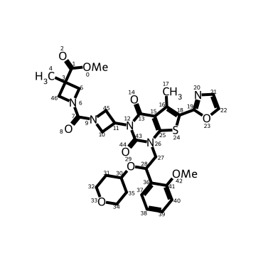 COC(=O)C1(C)CN(C(=O)N2CC(n3c(=O)c4c(C)c(-c5ncco5)sc4n(CC(OC4CCOCC4)c4ccccc4OC)c3=O)C2)C1